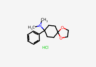 CN(C)C1(c2ccccc2)CCC2(CC1)OCCO2.Cl